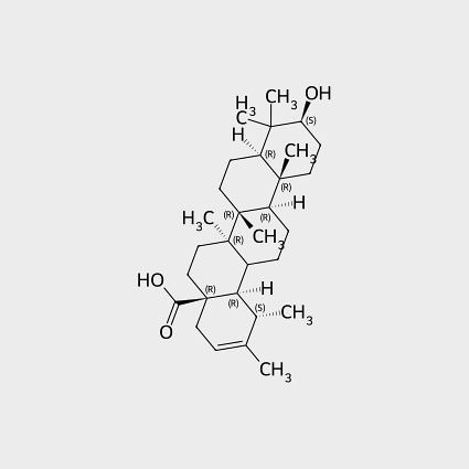 CC1=CC[C@]2(C(=O)O)CC[C@]3(C)C(CC[C@@H]4[C@@]5(C)CC[C@H](O)C(C)(C)[C@@H]5CC[C@]43C)[C@H]2[C@@H]1C